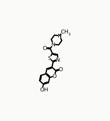 CN1CCN(C(=O)c2cnc(-c3cc4ccc(O)cc4oc3=O)s2)CC1